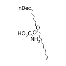 C=CCCCCCCCCC(=O)OCCCCCCCCCCCCCCCC.NCC(=O)O